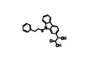 O=C(O)C(O)c1ccc2c3ccccc3n(SCCc3ccccc3)c2c1